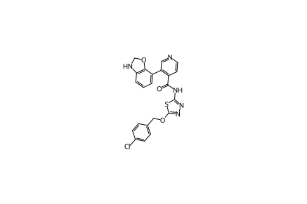 O=C(Nc1nnc(OCc2ccc(Cl)cc2)s1)c1ccncc1-c1cccc2c1OCN2